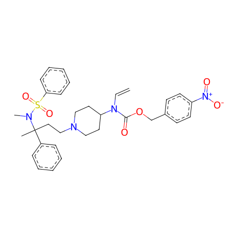 C=CN(C(=O)OCc1ccc([N+](=O)[O-])cc1)C1CCN(CCC(C)(c2ccccc2)N(C)S(=O)(=O)c2ccccc2)CC1